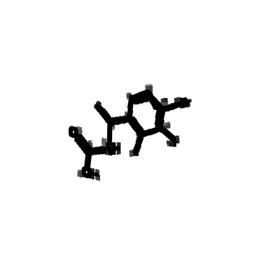 Cc1c(C(C)NC(=O)O)ccc(Br)c1F